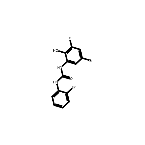 O=C(Nc1ccccc1Br)Nc1cc(Br)cc(F)c1O